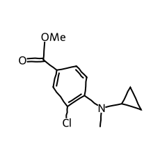 COC(=O)c1ccc(N(C)C2CC2)c(Cl)c1